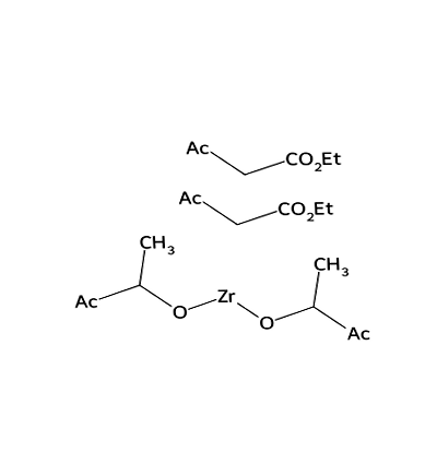 CC(=O)C(C)[O][Zr][O]C(C)C(C)=O.CCOC(=O)CC(C)=O.CCOC(=O)CC(C)=O